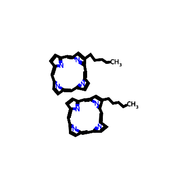 CCCCCC1=CC2=CC3=NC(=CC4=NC(=CC5=NC(=CC1=N2)C=C5)C=C4)C=C3.CCCCCC1=CC2=CC3=NC(=CC4=NC(=CC5=NC(=CC1=N2)C=C5)C=C4)C=C3